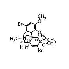 COC1=C2O[C@H]3C(OC)(OC)C(Br)=C[C@H]4[C@H]5CC(C(Br)=C1)C2[C@]43CCN5C